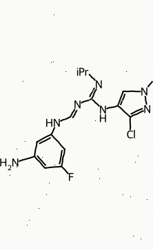 CC(C)/N=C(\N=C\Nc1cc(N)cc(F)c1)Nc1cn(C)nc1Cl